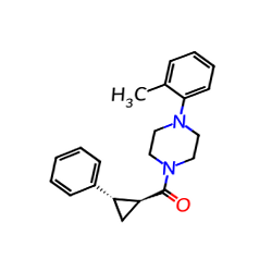 Cc1ccccc1N1CCN(C(=O)[C@H]2C[C@@H]2c2ccccc2)CC1